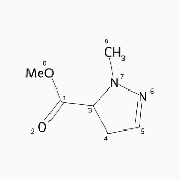 COC(=O)C1CC=NN1C